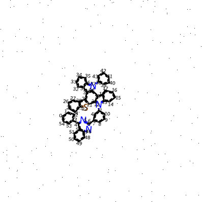 c1ccc(-c2nc(-c3cccc(-n4c5ccccc5c5c4c4sc6ccccc6c4c4c6ccccc6n(-c6ccccc6)c45)c3)nc3ccccc23)cc1